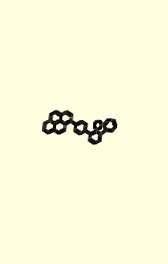 c1cc2ccc3ccc(-c4ccc(-c5cccc6c5oc5ccccc56)cc4)c4ccc(c1)c2c34